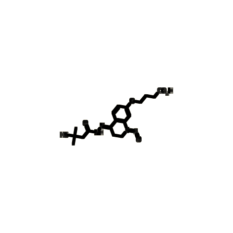 CC(C)(S)CC(=O)NN=C1CCS(=S=O)c2cc(OCCCC(=O)O)ccc21